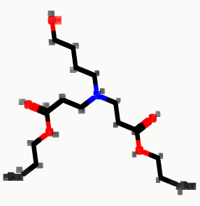 CCCCCCCCCCCCOC(=O)CCN(CCCCO)CCC(=O)OCCCCCCCCCCCC